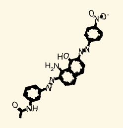 CC(=O)Nc1cccc(N=Nc2ccc3ccc(N=Nc4ccc([N+](=O)[O-])cc4)c(O)c3c2N)c1